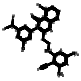 N#Cc1c(N)nc(N)nc1NCCc1nc2cccc(F)c2c(=O)n1-c1cc(Cl)cc(C(F)F)c1